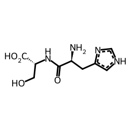 N[C@@H](Cc1c[nH]cn1)C(=O)N[C@H](CO)C(=O)O